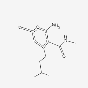 CNC(=O)c1c(CCC(C)C)cc(=O)oc1N